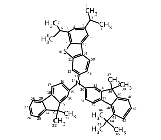 CC(C)c1cc(C(C)C)c2sc3cc(N(c4ccc5c(c4)C(C)(C)c4ccccc4-5)c4ccc5c(c4)C(C)(C)c4cccc(C(C)(C)C)c4-5)ccc3c2c1